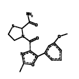 COc1cccc(-c2oc(C)nc2C(=O)N2CCSC2C(N)=O)c1